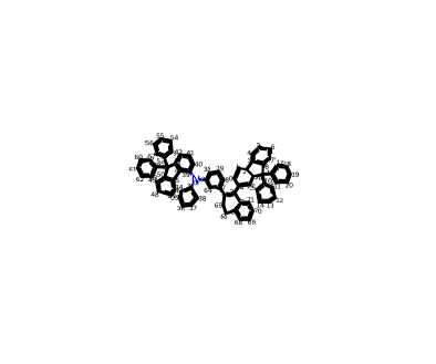 C1=CC2c3ccccc3C(c3ccccc3)(c3ccccc3)C2C=C1C1=C(c2cccc(N(c3ccccc3)c3cccc4c3-c3ccccc3C4(c3ccccc3)c3ccccc3)c2)CCc2ccccc21